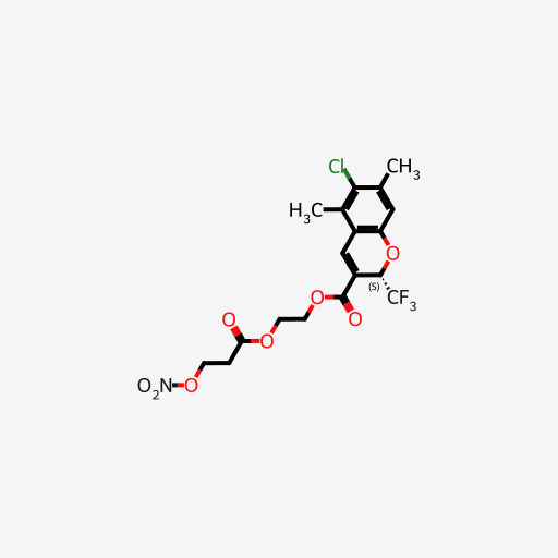 Cc1cc2c(c(C)c1Cl)C=C(C(=O)OCCOC(=O)CCO[N+](=O)[O-])[C@@H](C(F)(F)F)O2